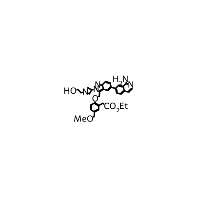 CCOC(=O)Cc1cc(COC)ccc1OCc1c2cc(-c3ccc4ccnc(N)c4c3)ccc2nn1C1CN(CCO)C1